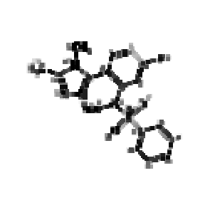 CCCCN(c1cc(F)ccc1-c1nnc(C)n1C)S(=O)(=O)c1ccccc1